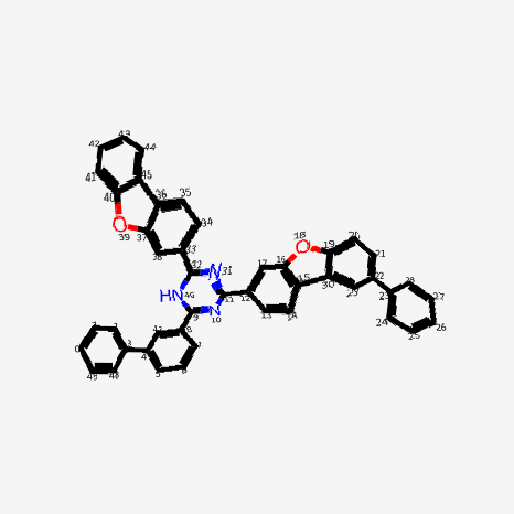 c1ccc(-c2cccc(C3=NC(c4ccc5c(c4)oc4ccc(-c6ccccc6)cc45)=NC(c4ccc5c(c4)oc4ccccc45)N3)c2)cc1